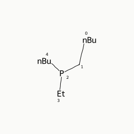 CCCCCP(CC)CCCC